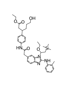 CCOC(=O)CC(CCCO)c1ccc(NC(=O)Cc2ccc3nc(Nc4ccccc4C)n(C(C[Si](C)(C)C)OCC)c3c2)cc1